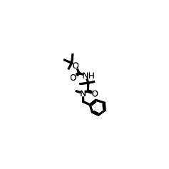 CN(Cc1ccccc1)C(=O)C(C)(C)NC(=O)OC(C)(C)C